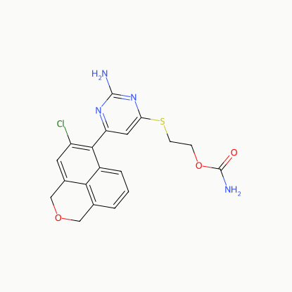 NC(=O)OCCSc1cc(-c2c(Cl)cc3c4c(cccc24)COC3)nc(N)n1